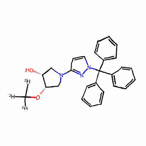 [2H]C([2H])([2H])O[C@H]1CN(c2ccn(C(c3ccccc3)(c3ccccc3)c3ccccc3)n2)C[C@H]1O